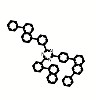 c1ccc(-c2ccc3cccc(-c4ccc(-c5nc(-c6cccc(-c7cccc8c(-c9ccccc9)cccc78)c6)nc(-c6ccccc6-c6cccc7ccccc67)n5)cc4)c3c2)cc1